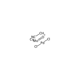 CC#N.[Cl][Pd][Cl].[Co].[O]=[Mo]